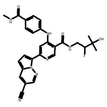 CNC(=O)c1ccc(Nc2cc(-c3ccc4cc(C#N)cnn34)ncc2C(=O)NCC(F)C(C)(C)O)cc1